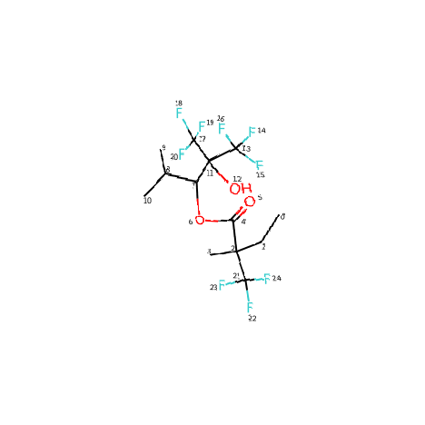 CCC(C)(C(=O)OC(C(C)C)C(O)(C(F)(F)F)C(F)(F)F)C(F)(F)F